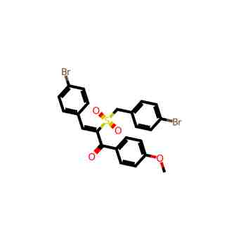 COc1ccc(C(=O)C(=Cc2ccc(Br)cc2)S(=O)(=O)Cc2ccc(Br)cc2)cc1